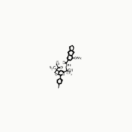 COc1cc(C(=O)NCC(O)(c2cc3c(c(-c4ccc(F)cc4)n2)OC[C@]3(C)C(N)=O)C(F)(F)F)cc2cc3c(cc12)CCC3